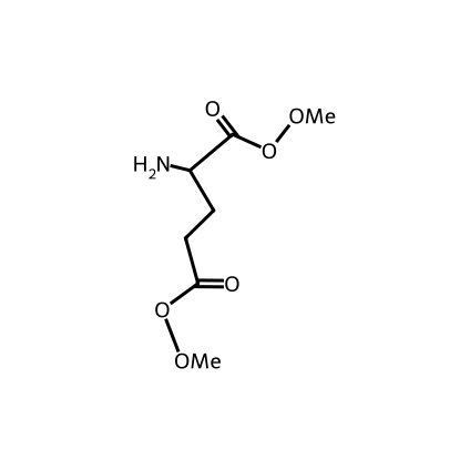 COOC(=O)CCC(N)C(=O)OOC